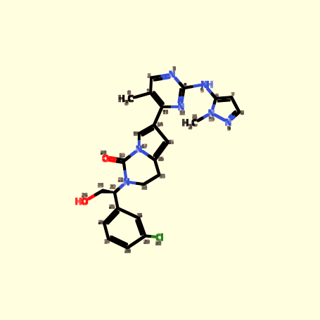 Cc1cnc(Nc2ccnn2C)nc1-c1cc2n(c1)C(=O)N([C@H](CO)c1cccc(Cl)c1)CC2